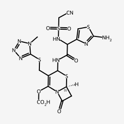 Cn1nnnc1SCC1=C(OC(=O)O)N2C(=O)C[C@@H]2SC1NC(=O)C(NS(=O)(=O)CC#N)c1csc(N)n1